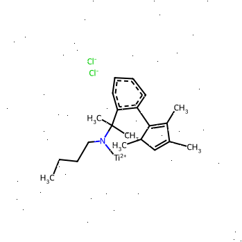 CCCC[N]([Ti+2])C(C)(C)c1ccccc1C1=C(C)C(C)=CC1C.[Cl-].[Cl-]